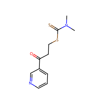 CN(C)C(=S)SCCC(=O)c1cccnc1